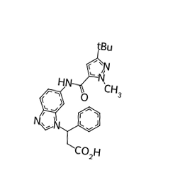 Cn1nc(C(C)(C)C)cc1C(=O)Nc1ccc2ncn(C(CC(=O)O)c3ccccc3)c2c1